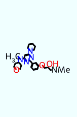 CNCC(O)COc1cccc(-c2nc(N3CCCCC3)cc(N(C)C3CCOCC3)n2)c1